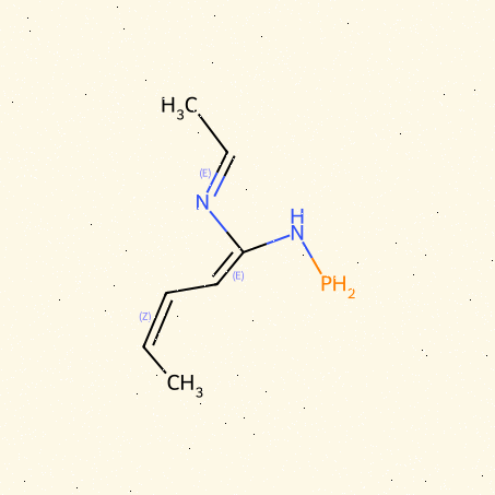 C\C=C/C=C(\N=C\C)NP